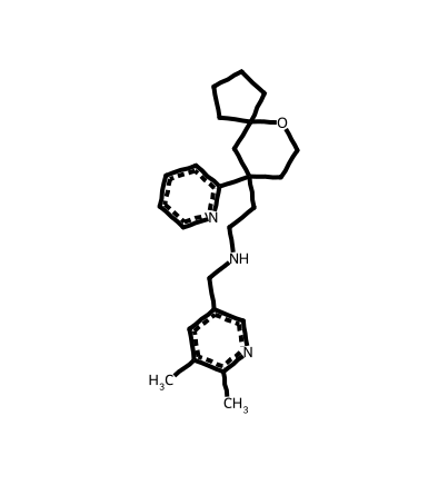 Cc1cc(CNCCC2(c3ccccn3)CCOC3(CCCC3)C2)cnc1C